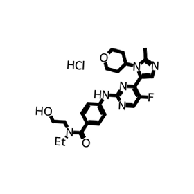 CCN(CCO)C(=O)c1ccc(Nc2ncc(F)c(-c3cnc(C)n3C3CCOCC3)n2)cc1.Cl